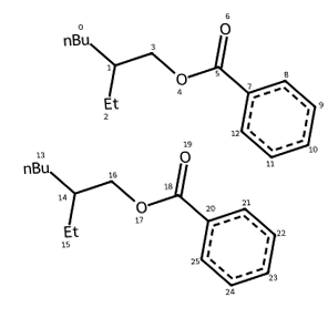 CCCCC(CC)COC(=O)c1ccccc1.CCCCC(CC)COC(=O)c1ccccc1